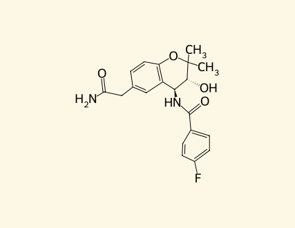 CC1(C)Oc2ccc(CC(N)=O)cc2[C@H](NC(=O)c2ccc(F)cc2)[C@H]1O